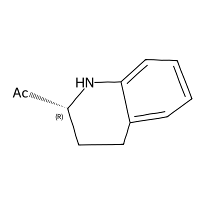 CC(=O)[C@H]1CCc2ccccc2N1